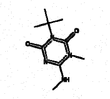 CNc1nc(=O)n(C(C)(C)C)c(=O)n1C